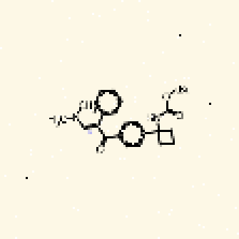 CN(C)/C=C(/C(=O)c1ccc(C2(NC(=O)OC(C)(C)C)CCC2)cc1)c1ccccc1